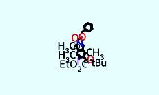 CCOC(=O)[C@@H](OC(C)(C)C)c1c(C)c2c(c(C)c1I)[C@@H](C)N(C(=O)OCc1ccccc1)C2